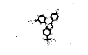 CCC(C)(C)C1CCC2=C(CC(c3ccc(Cl)cc3)N2c2cccc(C(=O)O)c2)C1